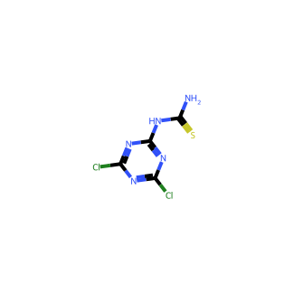 NC(=S)Nc1nc(Cl)nc(Cl)n1